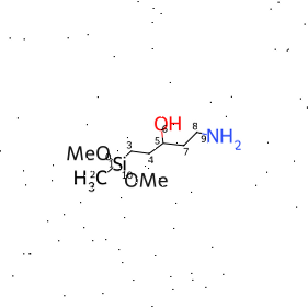 CO[Si](C)(CCC(O)CCN)OC